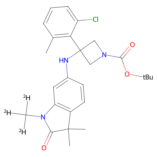 [2H]C([2H])([2H])N1C(=O)C(C)(C)c2ccc(NC3(c4c(C)cccc4Cl)CN(C(=O)OC(C)(C)C)C3)cc21